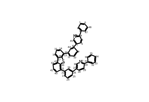 c1ccc(-c2ccc(-c3cccc(-c4cccc5c4sc4c(-c6cccc(-c7ccc(-c8ccccc8)nc7)c6)cccc45)c3)cn2)cc1